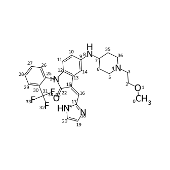 COCCN1CCC(Nc2ccc3c(c2)C(=Cc2ncc[nH]2)C(=O)N3c2ccccc2C(F)(F)F)CC1